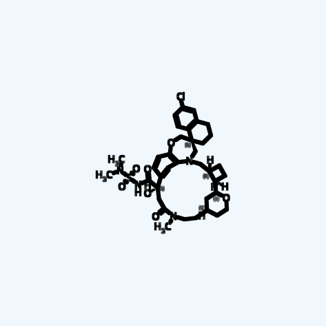 CN1CC[C@H]2CCO[C@@H](C2)[C@@H]2CC[C@H]2CN2C[C@@]3(CCCc4cc(Cl)ccc43)COc3ccc(cc32)[C@](O)(C(=O)NS(=O)(=O)N(C)C)CC1=O